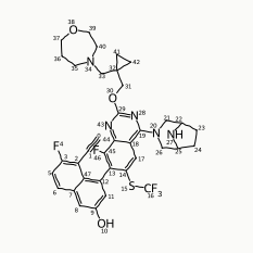 C#Cc1c(F)ccc2cc(O)cc(-c3c(SC(F)(F)F)cc4c(N5CC6CCC(C5)N6)nc(OCC5(CN6CCCOCC6)CC5)nc4c3F)c12